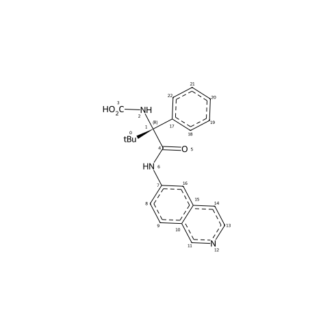 CC(C)(C)[C@](NC(=O)O)(C(=O)Nc1ccc2cnccc2c1)c1ccccc1